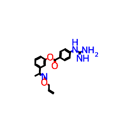 C=CCON=C(C)c1cccc(OC(=O)c2ccc(NC(=N)N)cc2)c1